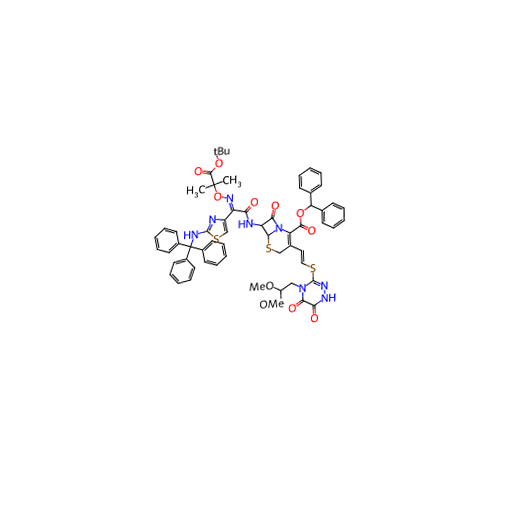 COC(Cn1c(S/C=C/C2=C(C(=O)OC(c3ccccc3)c3ccccc3)N3C(=O)C(NC(=O)/C(=N/OC(C)(C)C(=O)OC(C)(C)C)c4csc(NC(c5ccccc5)(c5ccccc5)c5ccccc5)n4)C3SC2)n[nH]c(=O)c1=O)OC